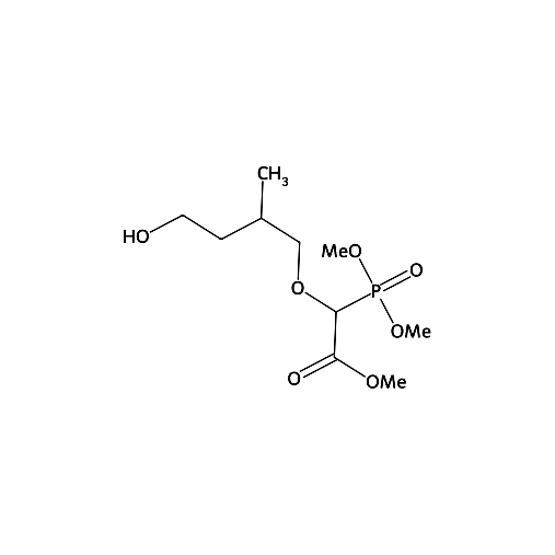 COC(=O)C(OCC(C)CCO)P(=O)(OC)OC